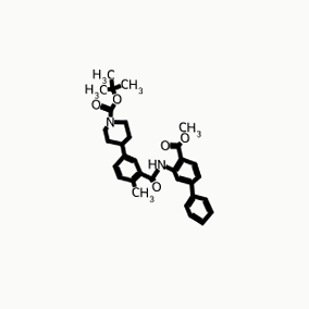 COC(=O)c1ccc(-c2ccccc2)cc1NC(=O)c1cc(C2CCN(C(=O)OC(C)(C)C)CC2)ccc1C